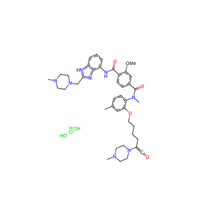 COc1cc(C(=O)N(C)c2ccc(C)cc2OCCCCC(=C=O)N2CCN(C)CC2)ccc1C(=O)Nc1cccc2[nH]c(CN3CCN(C)CC3)nc12.Cl.Cl.Cl